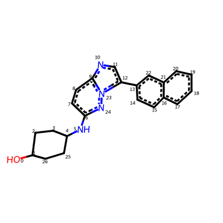 OC1CCC(Nc2ccc3ncc(-c4ccc5ccccc5c4)n3n2)CC1